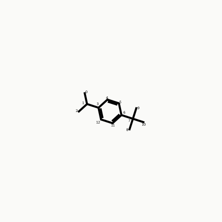 CC(C)c1ccc(C(C)(C)C)cc1